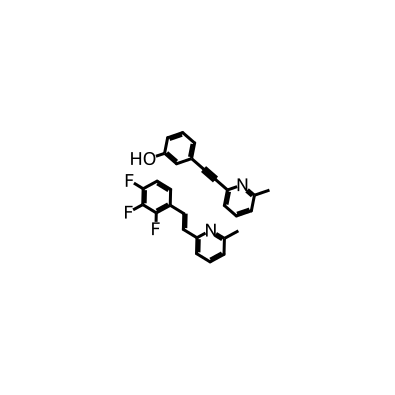 Cc1cccc(C#Cc2cccc(O)c2)n1.Cc1cccc(C=Cc2ccc(F)c(F)c2F)n1